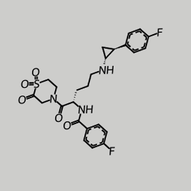 O=C(N[C@@H](CCCN[C@@H]1C[C@H]1c1ccc(F)cc1)C(=O)N1CCS(=O)(=O)C(=O)C1)c1ccc(F)cc1